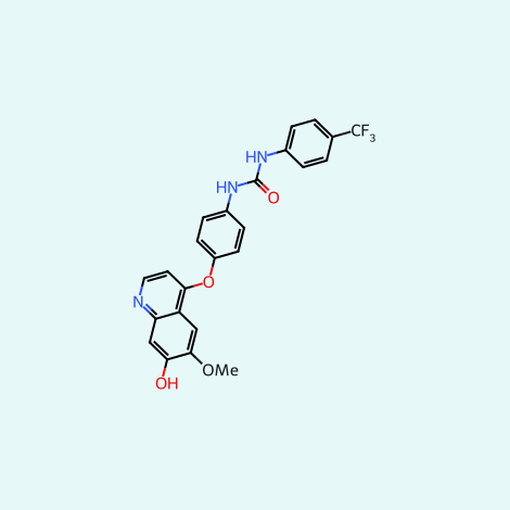 COc1cc2c(Oc3ccc(NC(=O)Nc4ccc(C(F)(F)F)cc4)cc3)ccnc2cc1O